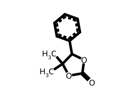 CC1(C)OC(=O)OC1c1ccccc1